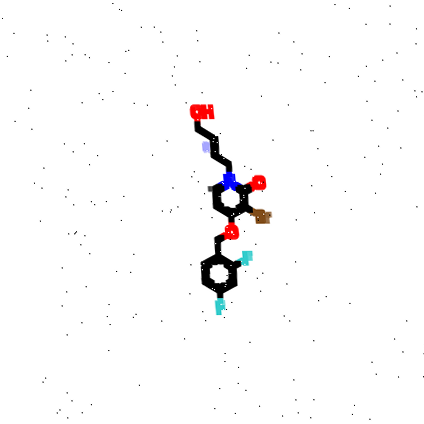 O=c1c(Br)c(OCc2ccc(F)cc2F)c[c]n1C/C=C/CO